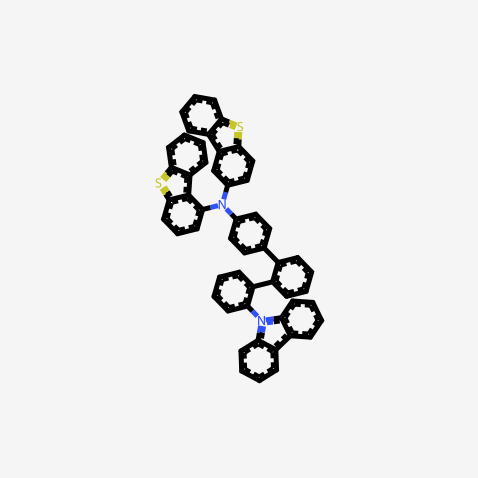 c1ccc(-c2ccccc2-n2c3ccccc3c3ccccc32)c(-c2ccc(N(c3ccc4sc5ccccc5c4c3)c3cccc4sc5ccccc5c34)cc2)c1